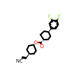 N#CC=C[C@H]1CC[C@H](OC(=O)[C@H]2CC[C@H](c3ccc(F)c(F)c3)CC2)CC1